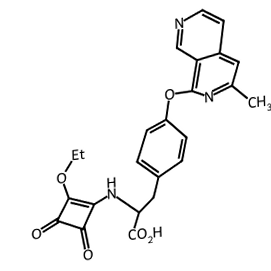 CCOc1c(NC(Cc2ccc(Oc3nc(C)cc4ccncc34)cc2)C(=O)O)c(=O)c1=O